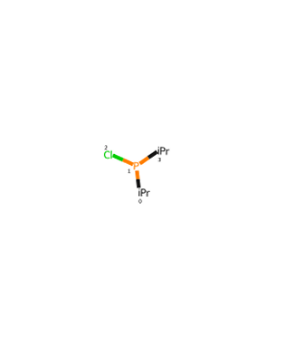 CC(C)P(Cl)C(C)C